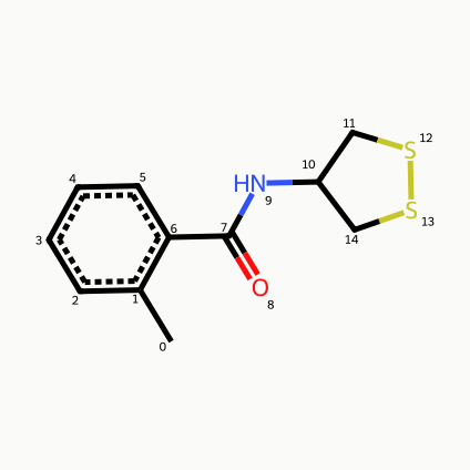 Cc1ccccc1C(=O)NC1CSSC1